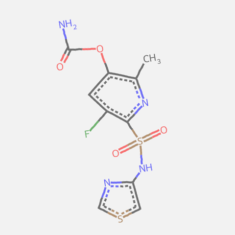 Cc1nc(S(=O)(=O)Nc2cscn2)c(F)cc1OC(N)=O